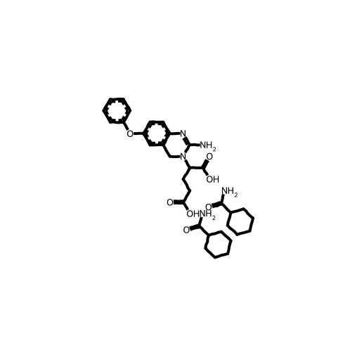 NC(=O)C1CCCCC1.NC(=O)C1CCCCC1.NC1=Nc2ccc(Oc3ccccc3)cc2CN1C(CCC(=O)O)C(=O)O